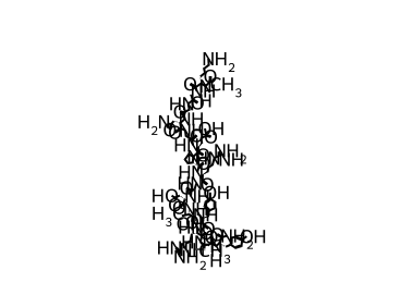 CC(=O)N[C@@H](CCCCN)C(=O)NCC(=O)NCC(=O)N[C@@H](CC(N)=O)C(=O)NCC(=O)N[C@@H](CCC(=O)O)C(=O)N1CCC[C@H]1C(=O)N[C@@H](CCCNC(=N)N)C(=O)NCC(=O)N[C@@H](CC(=O)O)C(=O)N[C@H](C(=O)N[C@@H](Cc1ccc(O)cc1)C(=O)N[C@@H](CCCNC(=N)N)C(=O)N[C@@H](C)C(=O)N[C@@H](Cc1ccc(O)cc1)C(N)=O)[C@@H](C)O